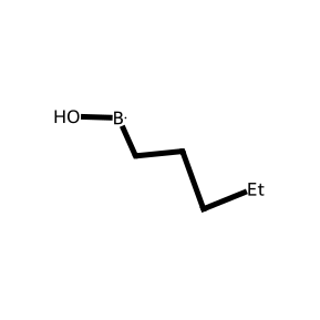 CCCCC[B]O